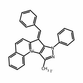 Cc1nn(-c2ccccc2)c2c1-[n+]1c(ccc3ccccc31)C2=Cc1ccccc1.[I-]